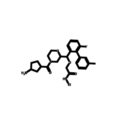 CCNC(=O)COC(c1cccc(F)c1-c1cccc(C)c1)C1CN(C(=O)C2CCC(N)C2)CCO1